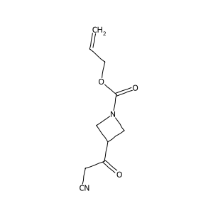 C=CCOC(=O)N1CC(C(=O)CC#N)C1